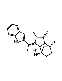 C/C(c1cc2ccccc2[nH]1)=[N+]1\[C@H]2C(C(=O)N1C)[C@@H]1CC[C@H]2C1